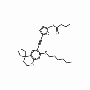 CCCCCCSc1cc2c(cc1C#Cc1ccc(OC(=O)CCC)o1)C(CC)(CC)CCO2